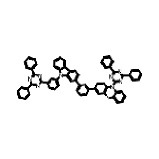 c1ccc(-c2nc(-c3ccccc3)nc(-c3cccc(-n4c5ccccc5c5ccc(-c6cccc(-c7ccc8c(c7)Sc7ccccc7N8c7nc(-c8ccccc8)nc(-c8ccccc8)n7)c6)cc54)c3)n2)cc1